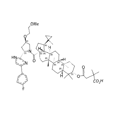 COCCO[C@@H]1C[C@@H](c2nc(-c3ccc(F)cc3)c[nH]2)N(C(=O)[C@]23CC[C@@H](C4(C)CC4)[C@@H]2[C@H]2CC[C@@H]4[C@@]5(C)CC[C@H](OC(=O)CC(C)(C)C(=O)O)C(C)(C)[C@@H]5CC[C@@]4(C)[C@]2(C)CC3)C1